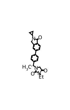 CCN1C(=O)CN([C@H](C)c2ccc(-c3ccc4c(c3)CN(C3CC3)C4=O)cc2)C1=O